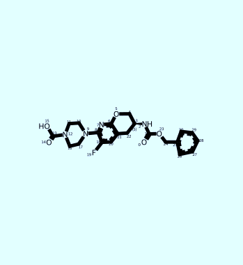 O=C(N[C@@H]1COc2nc(N3CCN(C(=O)O)CC3)c(F)cc2C1)OCc1ccccc1